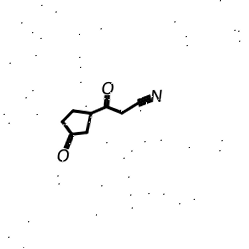 N#CCC(=O)C1CCC(=O)C1